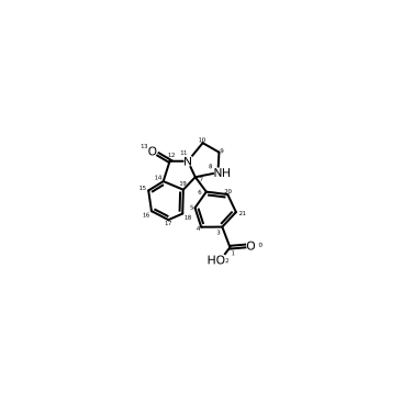 O=C(O)c1ccc(C23NCCN2C(=O)c2ccccc23)cc1